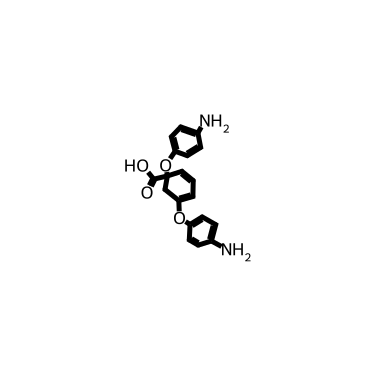 Nc1ccc(OC2=CC=CC(Oc3ccc(N)cc3)(C(=O)O)C2)cc1